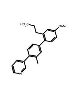 COc1ccc(-c2ccc(-c3cccnc3)c(C)c2)c(CCC(=O)O)c1